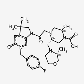 C[C@@H]1COCCN1C[C@H]1CN(C(=O)O)[C@H](C)CN1CC(=O)N1CC(C)(C)c2cc(=O)n(Cc3ccc(F)cc3)cc21